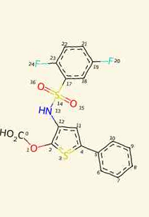 O=C(O)Oc1sc(-c2ccccc2)cc1NS(=O)(=O)c1cc(F)ccc1F